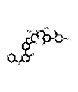 C[C@H](C(=O)N[C@H](C)c1cc(F)cc(N2CCN(C)CC2=O)c1)N1Cc2ccc(-c3nc(NC4CCOCC4)ncc3Cl)cc2C1=O